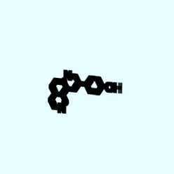 Oc1ccc(-c2cnc3ccc4ccncc4c3c2)cc1